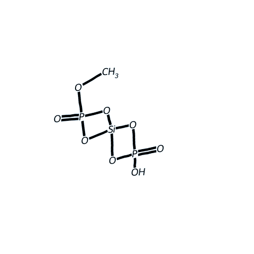 COP1(=O)O[Si]2(OP(=O)(O)O2)O1